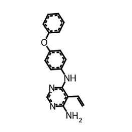 C=Cc1c(N)ncnc1Nc1ccc(Oc2ccccc2)cc1